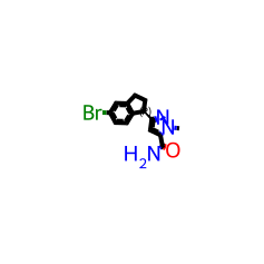 Cn1nc([C@@H]2CCc3cc(Br)ccc32)cc1C(N)=O